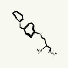 NC(CCOc1ccc(Cc2ccccc2)cc1)CC(=O)O